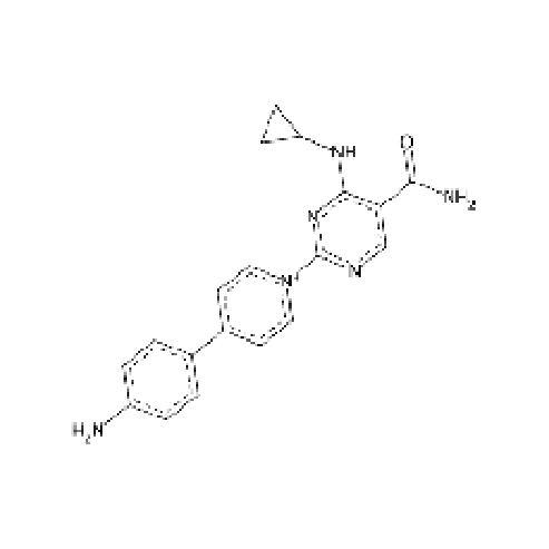 NC(=O)c1cnc(-[n+]2ccc(-c3ccc(N)cc3)cc2)nc1NC1CC1